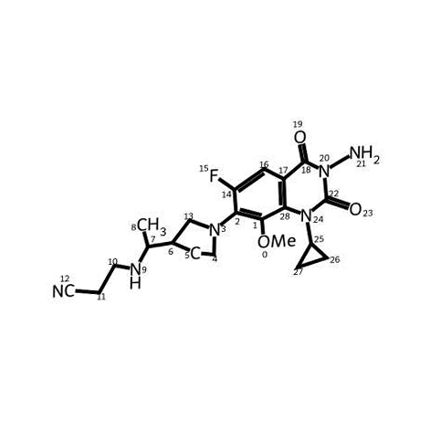 COc1c(N2CCC(C(C)NCCC#N)C2)c(F)cc2c(=O)n(N)c(=O)n(C3CC3)c12